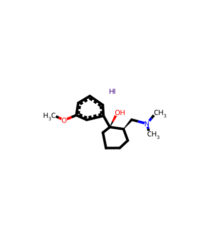 COc1cccc([C@@]2(O)CCCC[C@@H]2CN(C)C)c1.I